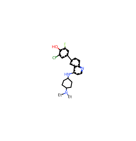 CCN(CC)C1CCC(Nc2ccnc3ccc(-c4cc(F)c(O)c(Cl)c4)cc23)CC1